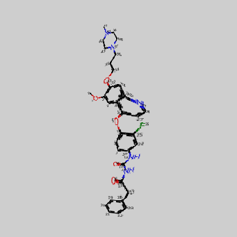 COc1cc2c(Oc3ccc(NC(=O)NC(=O)Cc4ccccc4)cc3F)ccnc2cc1OCCCN1CCN(C)CC1